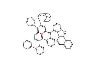 C1=CC(c2ccccc2-c2ccccc2-c2ccccc2N(c2ccc3c(c2)C2(c4ccccc4-3)C3CC4CC(C3)CC2C4)c2cccc3oc4c5ccccc5ccc4c23)=CCC1